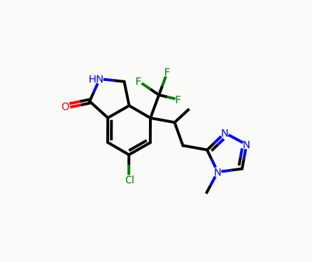 CC(Cc1nncn1C)C1(C(F)(F)F)C=C(Cl)C=C2C(=O)NCC21